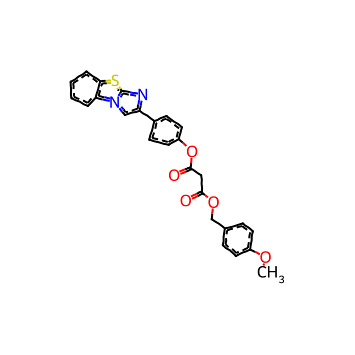 COc1ccc(COC(=O)CC(=O)Oc2ccc(-c3cn4c(n3)sc3ccccc34)cc2)cc1